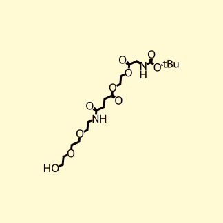 CC(C)(C)OC(=O)NCC(=O)OCCOC(=O)CCC(=O)NCCOCCOCCO